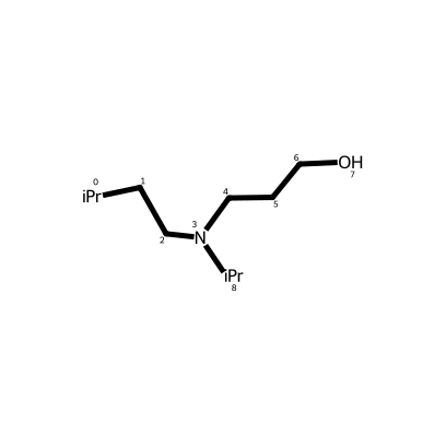 CC(C)CCN(CCCO)C(C)C